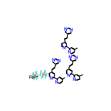 Cc1ccnc(-c2cc(C=Cc3cncnc3)ccn2)c1.Cc1ccnc(-c2cc(C=Cc3cncnc3)ccn2)c1.Cc1ccnc(-c2cc(C=Cc3cncnc3)ccn2)c1.F[P-](F)(F)(F)(F)F.F[P-](F)(F)(F)(F)F.[Fe+2]